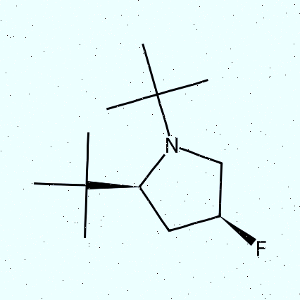 CC(C)(C)[C@@H]1C[C@H](F)CN1C(C)(C)C